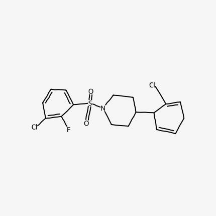 O=S(=O)(c1cccc(Cl)c1F)N1CCC(C2C=CCC=C2Cl)CC1